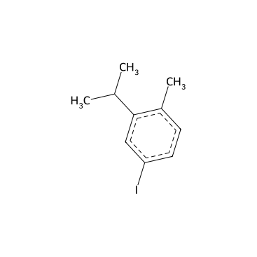 Cc1ccc(I)cc1C(C)C